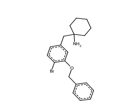 NC1(Cc2ccc(Br)c(OCc3ccccc3)c2)CCCCC1